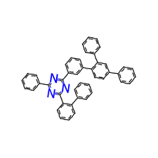 c1ccc(-c2ccc(-c3cccc(-c4nc(-c5ccccc5)nc(-c5ccccc5-c5ccccc5)n4)c3)c(-c3ccccc3)c2)cc1